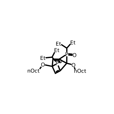 CCCCCCCCOC12C=C(C3(OCCCCCCCC)C(=C1)P3(=O)C(CC)CC)P2(=O)C(CC)CC